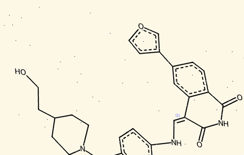 O=C1NC(=O)c2ccc(-c3ccoc3)cc2/C1=C/Nc1ccc(CN2CCC(CCO)CC2)cc1